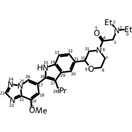 CCN(CC)CC(=O)N1CCOC(c2ccc3[nH]c(-c4cc(OC)c5ncnn5c4)c(C(C)C)c3c2)C1